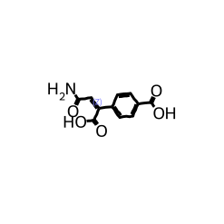 NC(=O)/C=C(\C(=O)O)c1ccc(C(=O)O)cc1